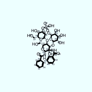 C[C@@H]1O[C@@H](O[C@H]2[C@H](O[C@H]3C[C@@H](OS(=O)(=O)O)[C@@H](O)[C@@H](CO)O3)[C@@H](CO)O[C@@H](NC(=O)c3ccccc3)[C@@]2(O)NC(=O)c2ccccc2)[C@@H](O)[C@H](O)[C@@H]1O